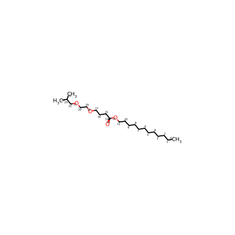 CCCCCCCCCCCCOC(=O)CCCOCCOCC(C)C